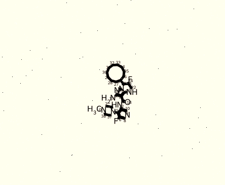 CN1CCN(c2c(F)cncc2NC(=O)c2c(N)nn3c2NCC(F)C3C2CCCCCCCCCC2)CC1